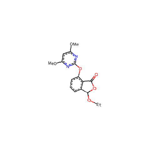 CCOC1OC(=O)c2c(Oc3nc(OC)cc(OC)n3)cccc21